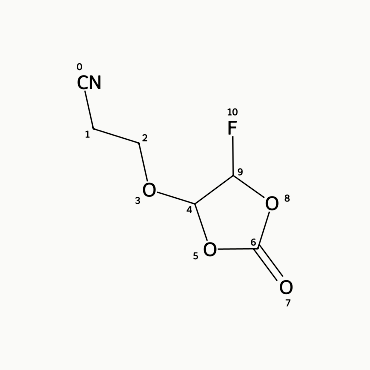 N#CCCOC1OC(=O)OC1F